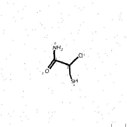 NC(=O)C(S)Cl